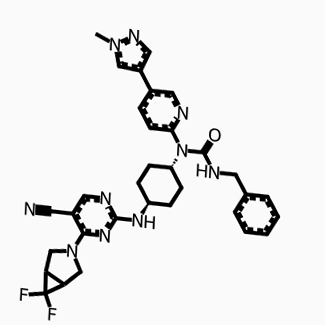 Cn1cc(-c2ccc(N(C(=O)NCc3ccccc3)[C@H]3CC[C@H](Nc4ncc(C#N)c(N5CC6C(C5)C6(F)F)n4)CC3)nc2)cn1